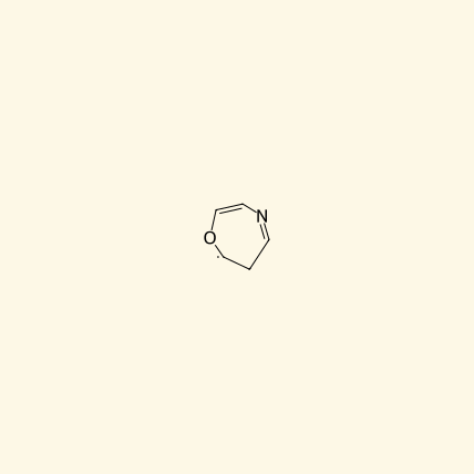 [CH]1CC=NC=CO1